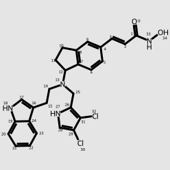 O=C(C=Cc1ccc2c(c1)CCC2N(CCc1c[nH]c2ccccc12)Cc1[nH]cc(Cl)c1Cl)NO